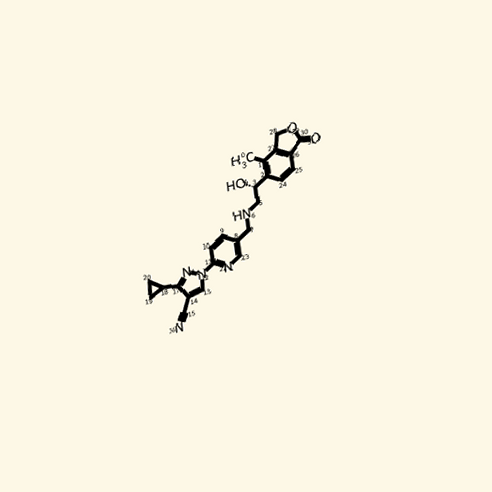 Cc1c([C@@H](O)CNCc2ccc(-n3cc(C#N)c(C4CC4)n3)nc2)ccc2c1COC2=O